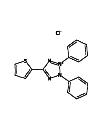 [Cl-].c1ccc(-n2nc(-c3cccs3)n[n+]2-c2ccccc2)cc1